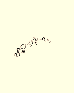 COCCN1C(=O)c2cc(-c3ccnc(Nc4ccnn4C)c3)sc2C12CC2